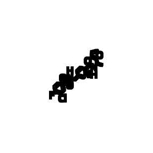 CC(NC(=O)c1ccc(CNS(=O)(=O)c2ccc(F)c(Cl)c2)cn1)c1ccco1